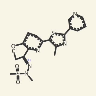 Cc1nc(-c2cccnc2)sc1-c1ccc2c(n1)/C(=N/N(C)S(C)(=O)=O)CCO2